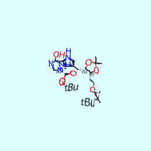 CC(C)(C)OC(=O)[N@+]12C=NC(O)(N1)c1[nH]cc(C[C@@H]3OC(C)(C)O[C@@H]3CCO[Si](C)(C)C(C)(C)C)c12